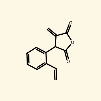 C=Cc1ccccc1C1C(=C)C(=O)OC1=O